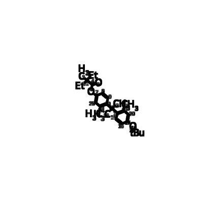 CCC(C)(CC)C(=O)Oc1ccc(C(C)(C)c2ccc(OC(C)(C)C)cc2C)c(C)c1